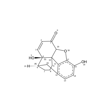 O=C1C=C[C@@]2(O)[C@@H]3CCCC24c2c(ccc(O)c2OC14)C3